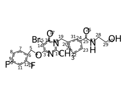 Cc1nc(OCc2ccc(F)cc2F)c(Br)c(=O)n1Cc1cccc(C(=O)NCCO)c1